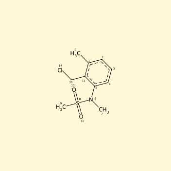 Cc1cccc(N(C)S(C)(=O)=O)c1CCl